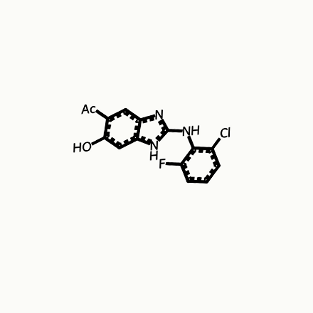 CC(=O)c1cc2nc(Nc3c(F)cccc3Cl)[nH]c2cc1O